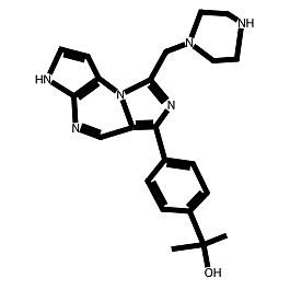 CC(C)(O)c1ccc(-c2nc(CN3CCNCC3)n3c2cnc2[nH]ccc23)cc1